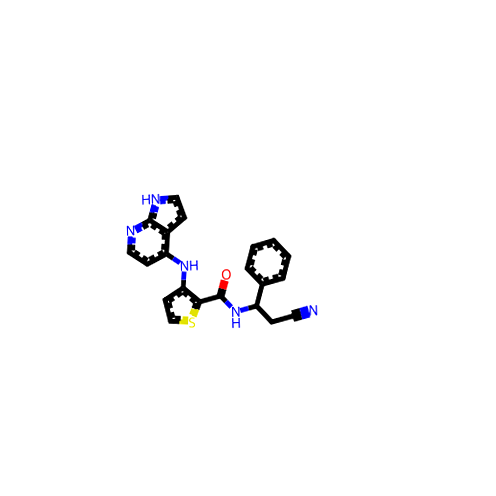 N#CCC(NC(=O)c1sccc1Nc1ccnc2[nH]ccc12)c1ccccc1